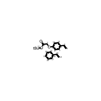 C=Cc1ccc(OCC(=O)OC(C)(C)C)cc1.C=Cc1ccccc1